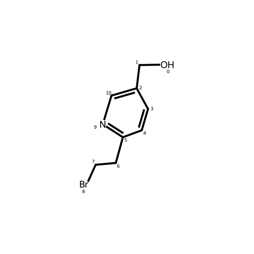 OCc1ccc(CCBr)nc1